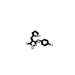 O=C1NN=C(Nc2ccc(Cl)cc2)/C1=C\c1ccc[nH]1